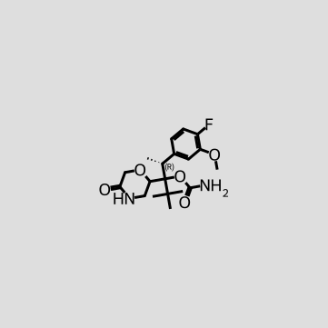 COc1cc([C@@H](C)C(OC(N)=O)(C2CNC(=O)CO2)C(C)(C)C)ccc1F